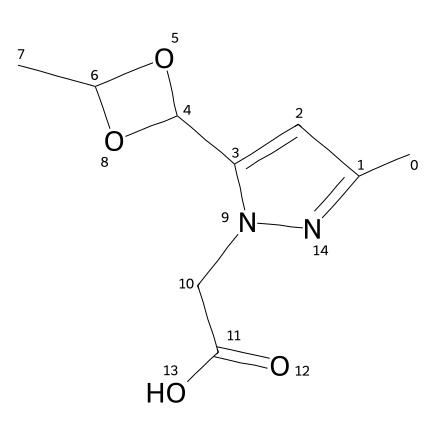 Cc1cc(C2OC(C)O2)n(CC(=O)O)n1